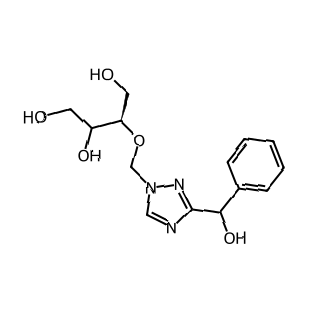 OCC(O)[C@@H](CO)OCn1cnc(C(O)c2ccccc2)n1